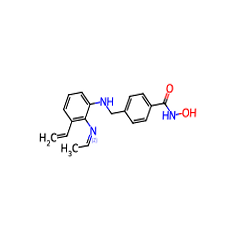 C=Cc1cccc(NCc2ccc(C(=O)NO)cc2)c1/N=C\C